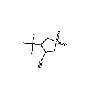 C#CC1CS(=O)(=O)CC1C(F)(F)F